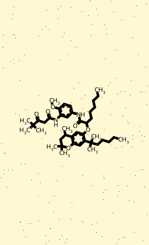 CCCCCCC(Oc1cc2c(cc1C(C)(C)CCCCC)OC(C)(C)CC2C)C(=O)Nc1ccc(OC)c(NC(=O)CC(=O)C(C)(C)C)c1